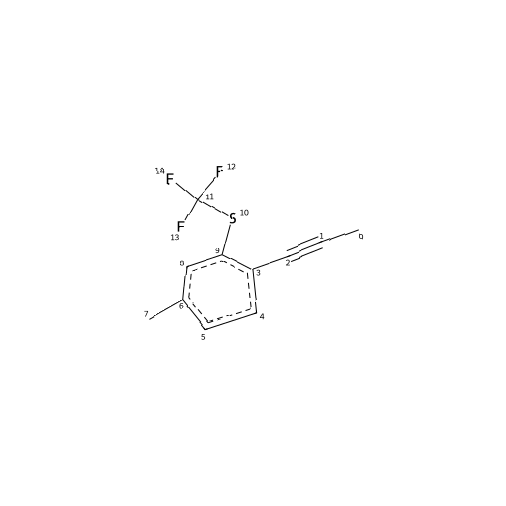 CC#Cc1ccc(C)cc1SC(F)(F)F